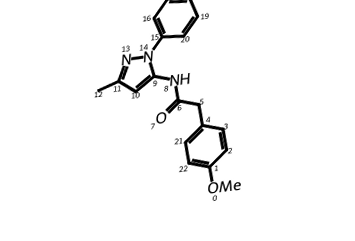 COc1ccc(CC(=O)Nc2cc(C)nn2-c2ccccc2)cc1